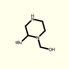 CC(C)(C)C1CNCCN1CO